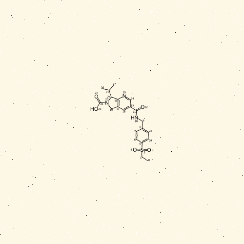 CCS(=O)(=O)c1ccc(CNC(=O)c2cnc3c(c2)CN(C(=O)O)C3C(C)C)cc1